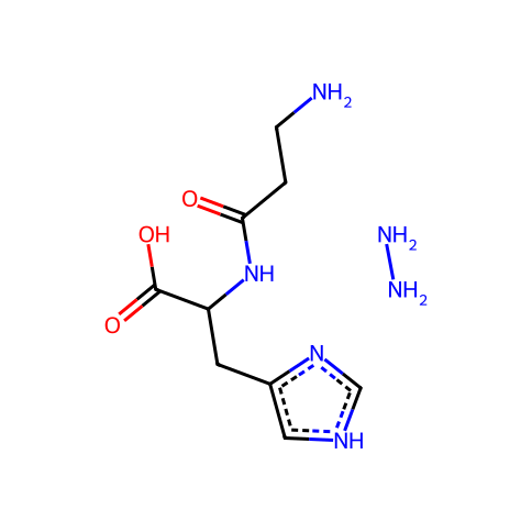 NCCC(=O)NC(Cc1c[nH]cn1)C(=O)O.NN